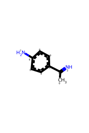 CC(=N)c1ccc(N)cc1